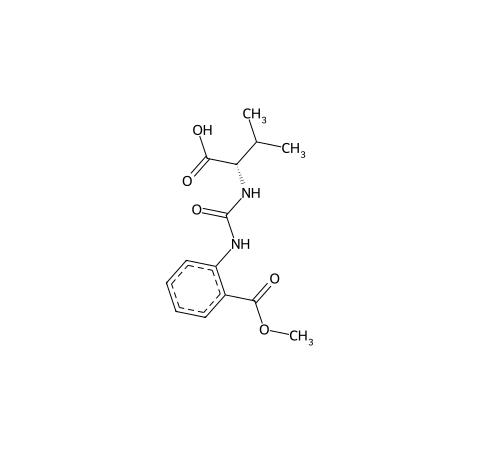 COC(=O)c1ccccc1NC(=O)N[C@H](C(=O)O)C(C)C